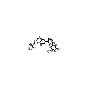 CCS(=O)(=O)N1CC2(C1)OCc1cc(C3=NSC(C)(c4cc(Cl)cc(Cl)c4)C3)ccc12